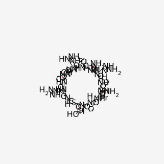 CC(C)[C@@H]1NC(=O)[C@H](Cc2ccccc2)NC(=O)[C@@H](Cc2ccc(O)cc2)NC(=O)CSC[C@@H](I)NC(=O)[C@H](CCCNC(=N)N)NC(=O)[C@H](Cc2ccccc2)NC(=O)[C@H]([C@@H](C)O)NC(=O)[C@H](CCCNC(=N)N)NC(=O)[C@H](Cc2ccccc2)NC(=O)[C@H](CC(N)=O)NC(=O)[C@H](CCCNC(=N)N)NC(=O)[C@H](Cc2ccccc2)NC(=O)[C@H](CC(N)=O)NC1=O